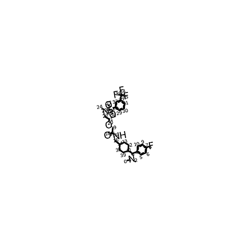 CN(C)C(c1ccc(F)cc1)C1CCC(CNC(=O)COCCN(C)S(=O)(=O)c2cccc(C(F)(F)F)c2)CC1